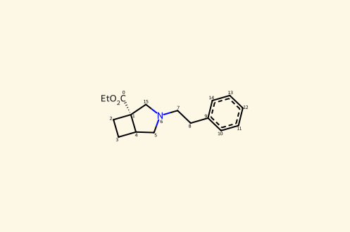 CCOC(=O)[C@@]12CCC1CN(CCc1ccccc1)C2